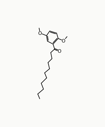 CCCCCCCCCCC(=O)c1cc(OC)ccc1OC